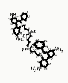 CC[N+](CC)(CCCC[N+](CC)(CC)CCC[n+]1c(-c2ccccc2)c2cc(N)ccc2c2ccc(N)cc21)CCC[n+]1c(-c2ccccc2)c2cc(N)ccc2c2ccc(N)cc21